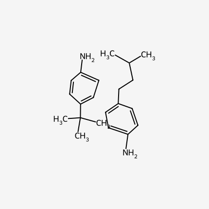 CC(C)(C)c1ccc(N)cc1.CC(C)CCc1ccc(N)cc1